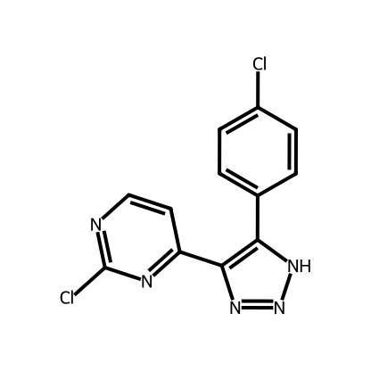 Clc1ccc(-c2[nH]nnc2-c2ccnc(Cl)n2)cc1